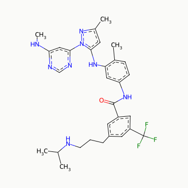 CNc1cc(-n2nc(C)cc2Nc2cc(NC(=O)c3cc(CCCNC(C)C)cc(C(F)(F)F)c3)ccc2C)ncn1